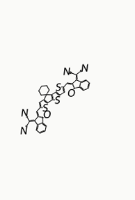 N#CC(C#N)=C1/C(=C/c2cc3c(s2)-c2sc4cc(/C=C5\C(=O)c6ccccc6C5=C(C#N)C#N)sc4c2C32CCCCC2)C(=O)c2ccccc21